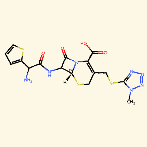 Cn1nnnc1SCC1=C(C(=O)O)N2C(=O)C(NC(=O)C(N)c3cccs3)[C@H]2SC1